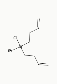 C=CCC[Si](Cl)(CCC=C)C(C)C